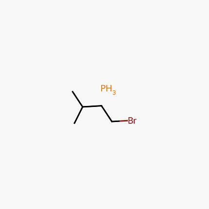 CC(C)CCBr.P